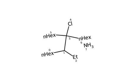 CCCCCCC(CC)C(Cl)(CCCCCC)CCCCCC.N